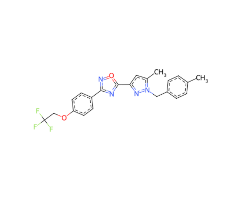 Cc1ccc(Cn2nc(-c3nc(-c4ccc(OCC(F)(F)F)cc4)no3)cc2C)cc1